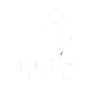 N#Cc1cccc(F)c1N1CC[C@@H](n2c(=O)n(Cc3ccccc3C(F)(F)F)c3c(C(=O)O)cccc32)C1